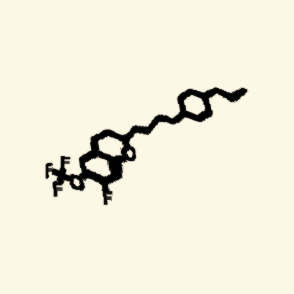 CCCC1CCC(CCCCC2CCc3cc(OC(F)(F)F)c(F)cc3O2)CC1